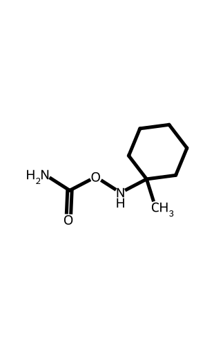 CC1(NOC(N)=O)CCCCC1